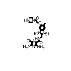 CCN1c2cc(C)c(OCC(=O)N3CCNCC3)cc2N(CC)C1CNC(=O)c1nc(Cl)c(N)nc1N